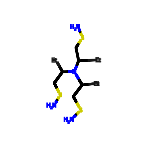 CCC(CSN)N(C(CC)CSN)C(CC)CSN